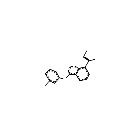 CC=C(C)c1cccc2c(Nc3cccc(Cl)c3)n[nH]c12